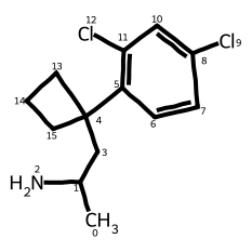 CC(N)CC1(c2ccc(Cl)cc2Cl)CCC1